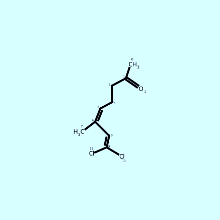 CC(=O)CCC=C(C)C=C(Cl)Cl